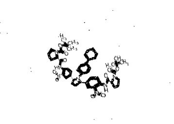 CC(C)(C)OC(=O)N1CCC[C@H]1C(=O)Nc1ccc([C@H]2CC[C@H](c3ccc(NC(=O)[C@@H]4CCCN4C(=O)OC(C)(C)C)c([N+](=O)[O-])c3)N2c2ccc(C3CCCCC3)cc2)cc1[N+](=O)[O-]